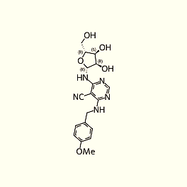 COc1ccc(CNc2ncnc(N[C@@H]3O[C@H](CO)[C@@H](O)[C@H]3O)c2C#N)cc1